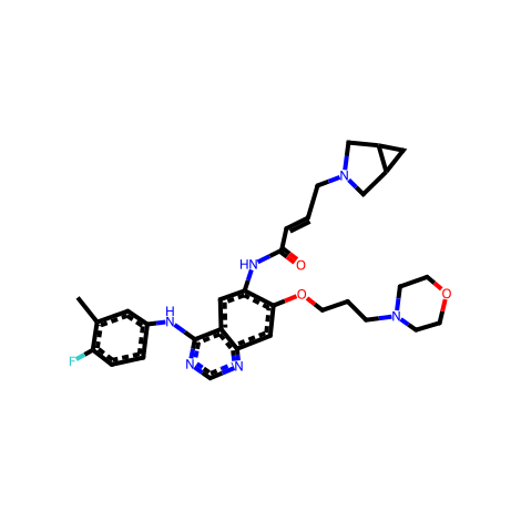 Cc1cc(Nc2ncnc3cc(OCCCN4CCOCC4)c(NC(=O)/C=C/CN4CC5CC5C4)cc23)ccc1F